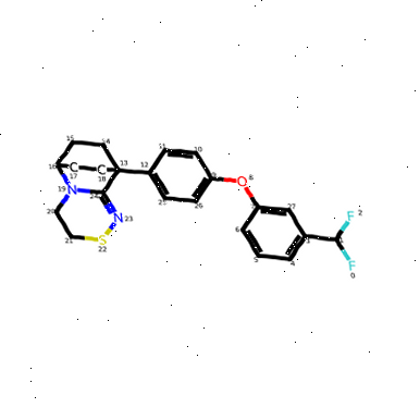 FC(F)c1cccc(Oc2ccc(C34CCC(CC3)N3CCSN=C34)cc2)c1